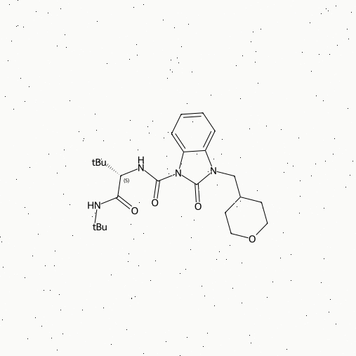 CC(C)(C)NC(=O)[C@@H](NC(=O)n1c(=O)n(CC2CCOCC2)c2ccccc21)C(C)(C)C